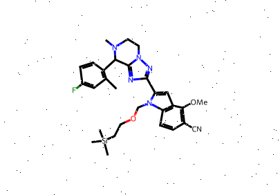 COc1c(C#N)ccc2c1cc(-c1nc3n(n1)CCN(C)C3c1ccc(F)cc1C)n2COCC[Si](C)(C)C